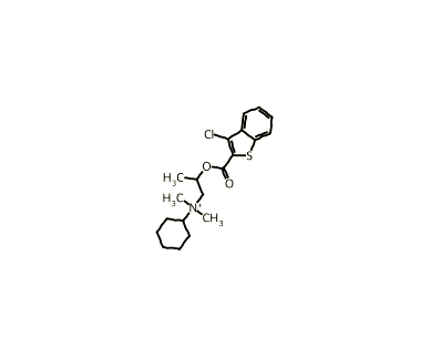 CC(C[N+](C)(C)C1CCCCC1)OC(=O)c1sc2ccccc2c1Cl